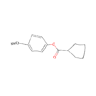 COc1ccc(OC(=O)C2CCCC2)cc1